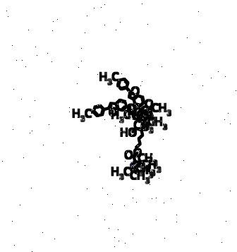 Cc1ccc(-c2cc3ccc(OC(C)(C)CC(C)(C)C(OC(CO)CCCCOC(=O)/C(=C/C(C)(C)C)C(C)(C)C)C(C)(C)CC(C)(C)Oc4ccc5cc(-c6ccc(C)cc6)oc5c4)cc3o2)cc1